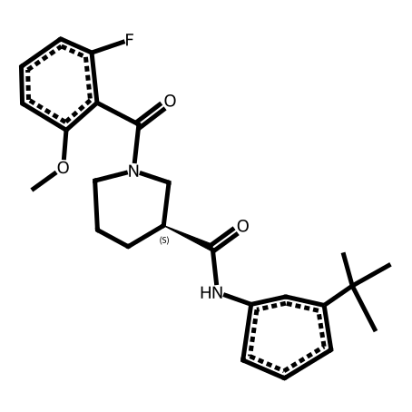 COc1cccc(F)c1C(=O)N1CCC[C@H](C(=O)Nc2cccc(C(C)(C)C)c2)C1